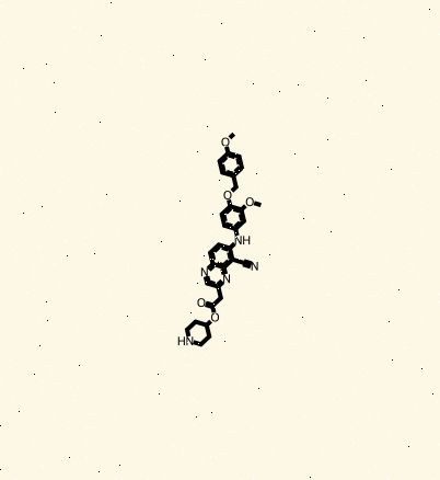 COc1ccc(COc2ccc(Nc3ccc4ncc(CC(=O)OC5CCNCC5)nc4c3C#N)cc2OC)cc1